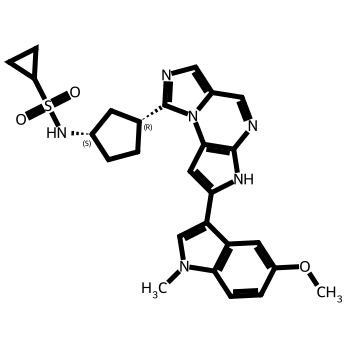 COc1ccc2c(c1)c(-c1cc3c(ncc4cnc([C@@H]5CC[C@H](NS(=O)(=O)C6CC6)C5)n43)[nH]1)cn2C